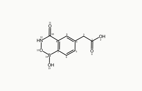 O=C(O)Cc1ccc2c(c1)C(=O)NOB2O